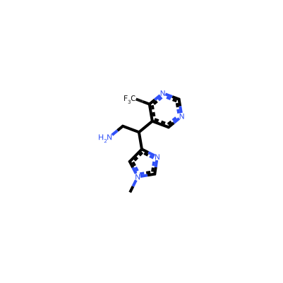 Cn1cnc(C(CN)c2cncnc2C(F)(F)F)c1